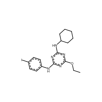 CCOc1nc(Nc2ccc(I)cc2)nc(NC2CCCCC2)n1